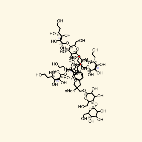 CCCCCCCCCC(CO[C@@H]1OC(CO)[C@@H](O[C@H]2OC(CO)[C@@H](O)C(O)C2O)C(O)C1O)(CO[C@H](O)/C(O)=C(/O)[C@@H](CCO)O[C@H](O)/C(O)=C(/O)[C@H](O)CCO)Cc1ccc(C[C@@](CCCCCCCCC)(CO[C@@H]2OC(CO)[C@@H](O[C@H](O)/C(O)=C(\O)[C@H](O)CCO)[C@H](O)C2O)CO[C@H](O)/C(O)=C(/O)[C@@H](CCO)OOC(CO)[C@@H](O)C(O)[C@@H](C)O)cc1